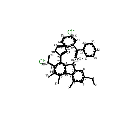 CCc1cc(C)c2c(c1)[CH]([Zr+2]=[C](c1ccccc1)c1ccccc1)c1c(C3=CC=CC3)c(CC)c(C)c(C)c1-2.[Cl-].[Cl-]